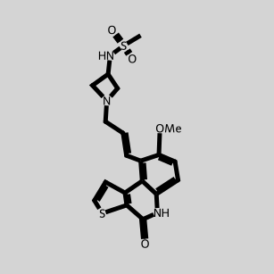 COc1ccc2[nH]c(=O)c3sccc3c2c1C=CCN1CC(NS(C)(=O)=O)C1